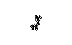 c1ccc(-c2nc(-c3ccc4sc5cc(-c6nc(-c7ccccc7)c7oc8ccccc8c7n6)ccc5c4c3)nc(-c3cccc4sc5ccccc5c34)n2)cc1